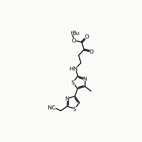 Cc1nc(NCCC(=O)C(=O)OC(C)(C)C)sc1-c1csc(CC#N)n1